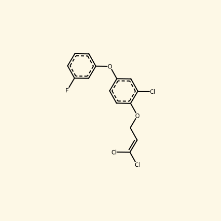 Fc1cccc(Oc2ccc(OCC=C(Cl)Cl)c(Cl)c2)c1